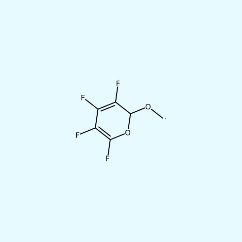 [CH2]OC1OC(F)=C(F)C(F)=C1F